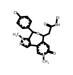 CCNC(=O)CC1OC(c2ccc(Cl)cc2)c2c(cnn2C)-c2cn(C)c(=O)cc21